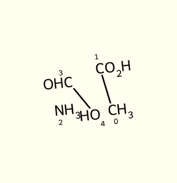 CC(=O)O.N.O=CO